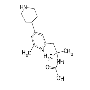 Cc1cc(C2CCNCC2)cc(CC(C)(C)NC(=O)O)n1